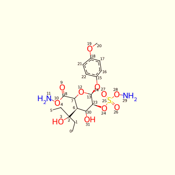 CCC(O)(CC)[C@H]1C(C(=O)ON)O[C@@H](Oc2ccc(OC)cc2)[C@@H](OS(=O)(=O)ON)C1O